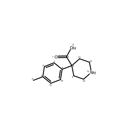 Cc1ccc(C2(C(=O)O)CCNCC2)cc1